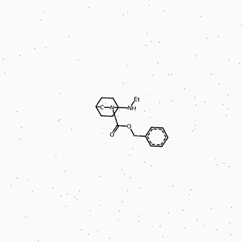 CCNC12CCC(CC1)CN2C(=O)OCc1ccccc1